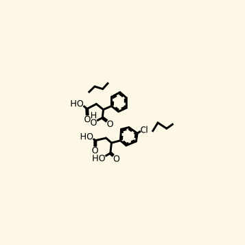 CCCC.CCCC.O=C(O)CC(C(=O)O)c1ccc(Cl)cc1.O=C(O)CC(C(=O)O)c1ccccc1